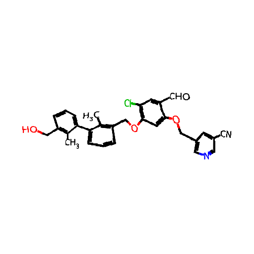 Cc1c(CO)cccc1-c1cccc(COc2cc(OCc3cncc(C#N)c3)c(C=O)cc2Cl)c1C